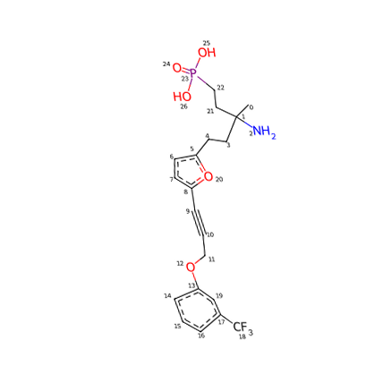 CC(N)(CCc1ccc(C#CCOc2cccc(C(F)(F)F)c2)o1)CCP(=O)(O)O